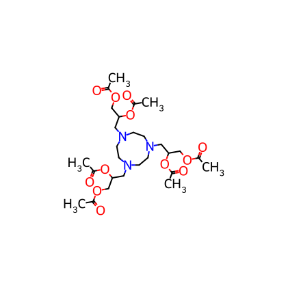 CC(=O)OCC(CN1CCN(CC(COC(C)=O)OC(C)=O)CCN(CC(COC(C)=O)OC(C)=O)CC1)OC(C)=O